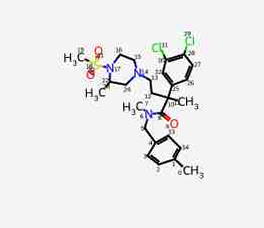 Cc1ccc(CN(C)C(=O)C(C)(CCN2CCN(S(C)(=O)=O)C(C)C2)c2ccc(Cl)c(Cl)c2)cc1